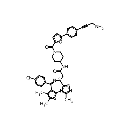 Cc1sc2c(c1C)C(c1ccc(Cl)cc1)=N[C@@H](CC(=O)NC1CCN(C(=O)c3ccc(-c4ccc(C#CCN)cc4)o3)CC1)c1nnc(C)n1-2